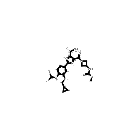 COC(=O)NC1CN(C(=O)c2nc(-c3ccc(OC(F)F)c(OCC4CC4)c3)oc2[C@H](C)N)C1